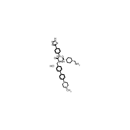 CN1CCN(c2ccc(-c3ccc(C[C@H](NC(=O)[C@H]4CC[C@H](CN)CC4)C(=O)Nc4ccc(-c5nn[nH]n5)cc4)cc3)cc2)CC1.Cl